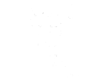 C[C@H]1CN(c2cc(F)c(C3=CCN(C(O)OC4CC(F)(F)C4)CC3)c(F)c2NC(=O)c2c[nH]c(=O)cc2C(F)(F)F)CCN1C